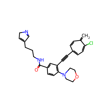 C=C1C=CC(C#Cc2cc(C(=O)NCCCC3=CCN=C3)ccc2N2CCOCC2)=CC=C1Cl